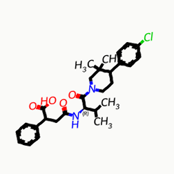 CC(C)[C@@H](NC(=O)CC(C(=O)O)c1ccccc1)C(=O)N1CCC(c2ccc(Cl)cc2)C(C)(C)C1